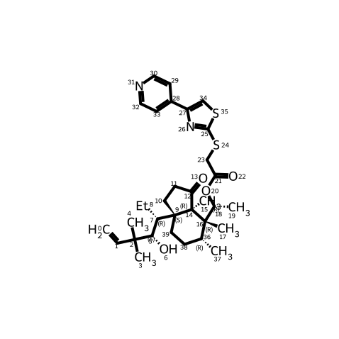 C=CC(C)(C)[C@@H](O)[C@H](CC)[C@]12CCC(=O)[C@@]1(C)[C@](C)([C@@H](C)OC(=O)CSc1nc(-c3ccncc3)cs1)[C@H](C)CC2